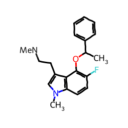 CNCCc1cn(C)c2ccc(F)c(OC(C)c3ccccc3)c12